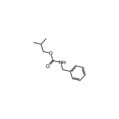 CC(C)COC(=O)NCc1c[c]ccc1